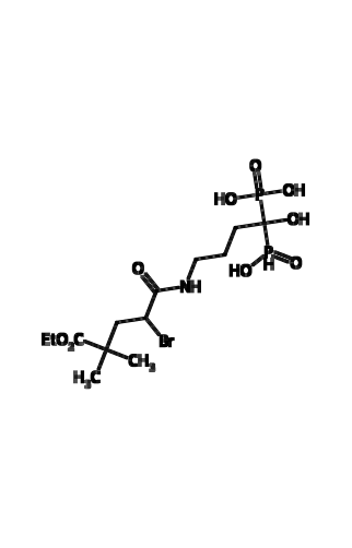 CCOC(=O)C(C)(C)CC(Br)C(=O)NCCCC(O)([PH](=O)O)P(=O)(O)O